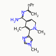 C=C(CCC)/N=C(/N)C1=CCN(C)C(c2cn(C)cn2)=C1C